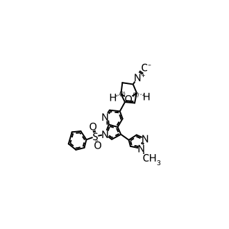 [C-]#[N+]C1C[C@H]2O[C@@H]1C=C2c1cnc2c(c1)c(-c1cnn(C)c1)cn2S(=O)(=O)c1ccccc1